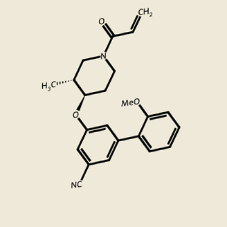 C=CC(=O)N1CC[C@@H](Oc2cc(C#N)cc(-c3ccccc3OC)c2)[C@H](C)C1